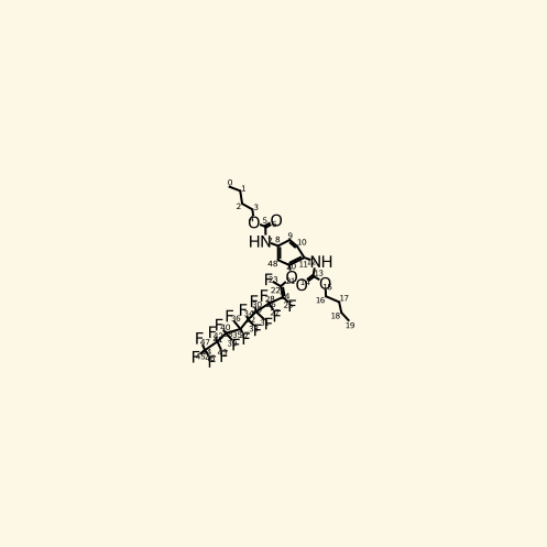 CCCCOC(=O)Nc1ccc(NC(=O)OCCCC)c(OC(F)=C(F)C(F)(F)C(F)(F)C(F)(F)C(F)(F)C(F)(F)C(F)(F)C(F)(F)F)c1